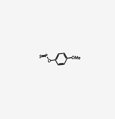 COc1ccc(OP=S)cc1